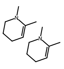 CC1=CCCCN1C.CC1=CCCCN1C